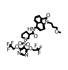 COCCCN1C(=O)c2cccc3c(NC(=O)C4CCCN(S(=O)(=O)c5c(OCC(F)(F)F)ncnc5OCC(F)(F)F)C4)ccc1c23